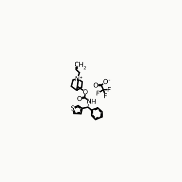 C=CC[N+]12CCC(CC1)C(OC(=O)N[C@H](c1ccccc1)c1ccsc1)C2.O=C([O-])C(F)(F)F